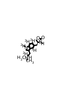 [2H]c1c(C[C@H]2COC(=O)N2[2H])c([2H])c2c(CC([2H])([2H])N(C)C)cn([2H])c2c1[2H]